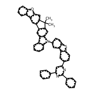 CC1(C)c2cc3oc4ccccc4c3cc2-c2cc3c4ccccc4n(-c4ccc5sc6ccc(-c7cc(-c8ccccc8)nc(-c8ccccc8)n7)cc6c5c4)c3cc21